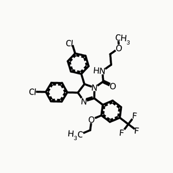 CCOc1cc(C(F)(F)F)ccc1C1=NC(c2ccc(Cl)cc2)C(c2ccc(Cl)cc2)N1C(=O)NCCOC